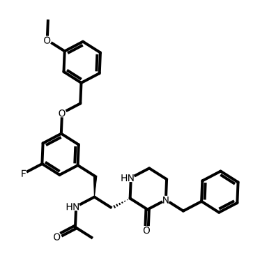 COc1cccc(COc2cc(F)cc(C[C@@H](C[C@@H]3NCCN(Cc4ccccc4)C3=O)NC(C)=O)c2)c1